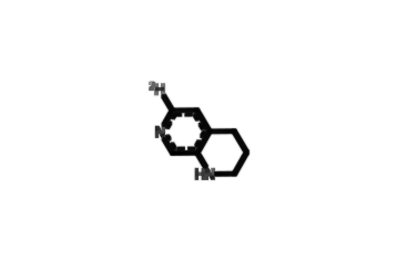 [2H]c1cc2c(cn1)NCCC2